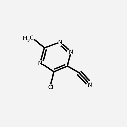 Cc1nnc(C#N)c(Cl)n1